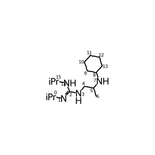 CC(C)N=C(NCC(C)NC1CCCCC1)NC(C)C